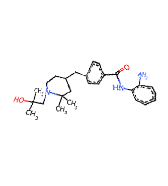 CC(C)(O)CN1CCC(Cc2ccc(C(=O)Nc3ccccc3N)cc2)CC1(C)C